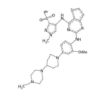 COc1cc(N2CCC(N3CCN(C)CC3)CC2)ccc1Nc1nc(Nc2cn(C)nc2S(=O)(=O)C(C)C)c2sccc2n1